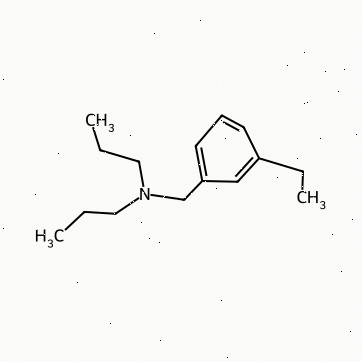 CCCN(CCC)Cc1cccc(CC)c1